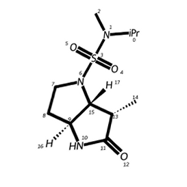 CC(C)N(C)S(=O)(=O)N1CC[C@@H]2NC(=O)[C@@H](C)[C@H]21